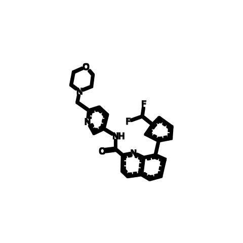 O=C(Nc1ccc(CN2CCOCC2)nc1)c1ccc2cccc(-c3cccc(C(F)F)c3)c2n1